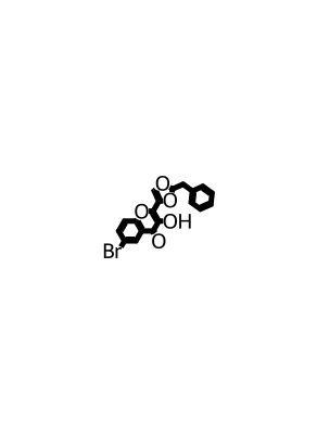 O=c1c(O)c(C2=COC(Cc3ccccc3)O2)oc2ccc(Br)cc12